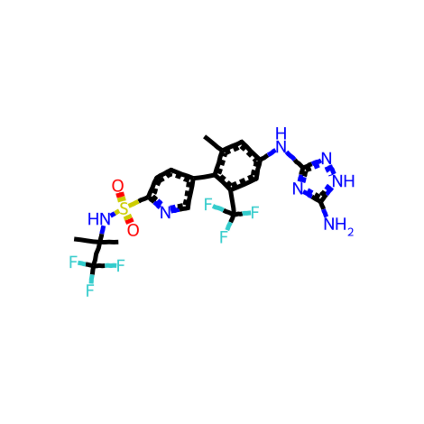 Cc1cc(Nc2n[nH]c(N)n2)cc(C(F)(F)F)c1-c1ccc(S(=O)(=O)NC(C)(C)C(F)(F)F)nc1